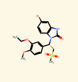 CCOc1cc([C@@H](CS(C)(=O)=O)n2c(=O)[nH]c3cc(Br)ccc32)ccc1OC